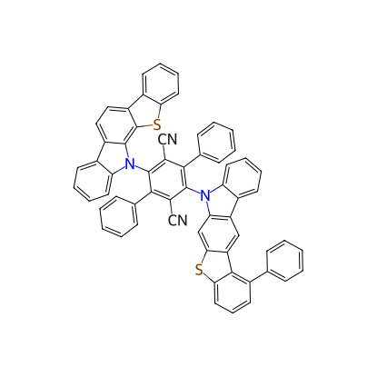 N#Cc1c(-c2ccccc2)c(-n2c3ccccc3c3ccc4c5ccccc5sc4c32)c(C#N)c(-c2ccccc2)c1-n1c2ccccc2c2cc3c(cc21)sc1cccc(-c2ccccc2)c13